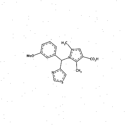 COc1cccc(C(c2cscn2)n2c(C)cc(C(=O)O)c2C)c1